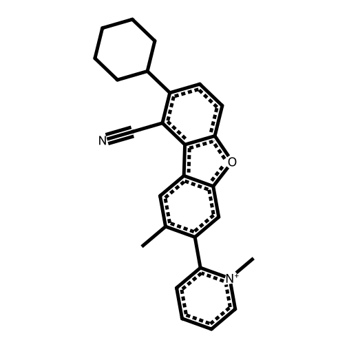 Cc1cc2c(cc1-c1cccc[n+]1C)oc1ccc(C3CCCCC3)c(C#N)c12